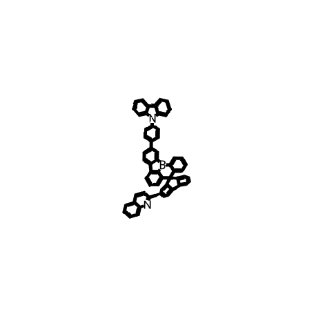 c1ccc2c(c1)B1c3cc(-c4ccc(-n5c6ccccc6c6ccccc65)cc4)ccc3-c3cccc(c31)C21c2ccccc2-c2ccc(-c3ccc4ccccc4n3)cc21